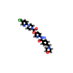 O=C(Nc1ccc(OC(=O)N2CCN(c3ccc(Cl)cn3)CC2)cn1)c1ccc(CN2CCOCC2)cc1